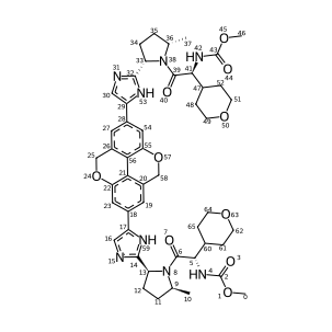 COC(=O)N[C@H](C(=O)N1[C@@H](C)CC[C@H]1c1ncc(-c2cc3c4c(c2)OCc2cc(-c5cnc([C@@H]6CC[C@H](C)N6C(=O)[C@@H](NC(=O)OC)C6CCOCC6)[nH]5)cc(c2-4)OC3)[nH]1)C1CCOCC1